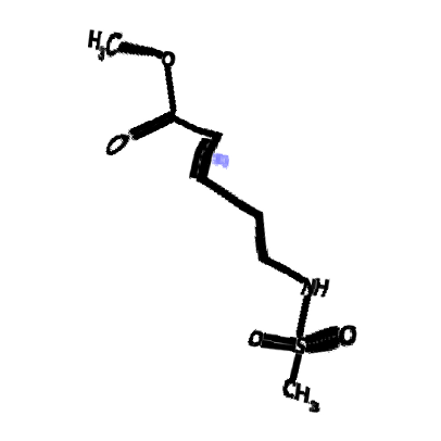 COC(=O)/C=C/CCNS(C)(=O)=O